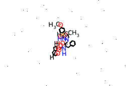 COc1ccc(S(=O)(=O)NN(CC(C)C)C[C@@H](O)C(Cc2ccccc2)NC(=O)OC2[C@H]3COC4O[C@H]2CC4C3)cc1